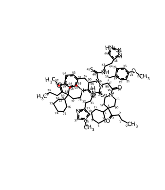 CCCC(=O)C1(C2CCCCC2)CCN(C(=O)[C@@H](Cc2ccc(OC)cc2)N(C(=S)NCCc2cn(C)cn2)N(C(=S)NCCc2c[nH]nn2)[C@H](Cc2ccc(OC)cc2)C(=O)N2CCC(C(=O)CCC)(C3CCCCC3)CC2)CC1